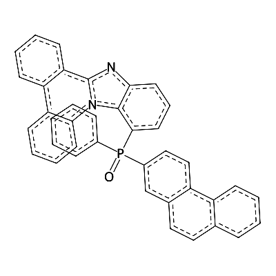 O=P(c1ccccc1)(c1ccc2c(ccc3ccccc32)c1)c1cccc2nc3c4ccccc4c4ccccc4n3c12